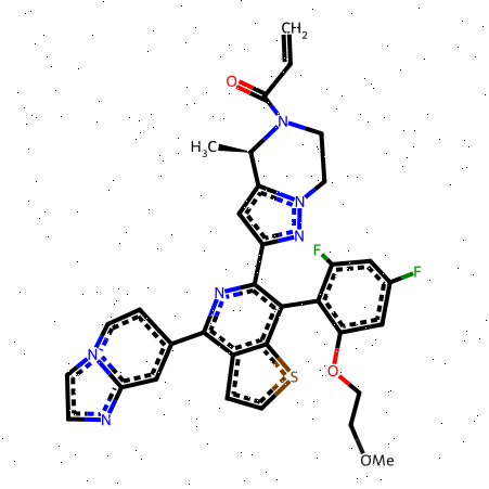 C=CC(=O)N1CCn2nc(-c3nc(-c4ccn5ccnc5c4)c4ccsc4c3-c3c(F)cc(F)cc3OCCOC)cc2[C@H]1C